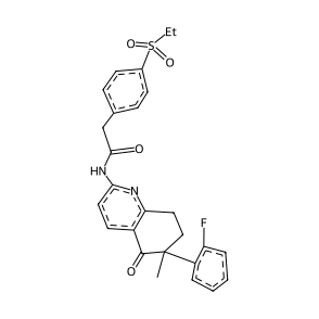 CCS(=O)(=O)c1ccc(CC(=O)Nc2ccc3c(n2)CCC(C)(c2ccccc2F)C3=O)cc1